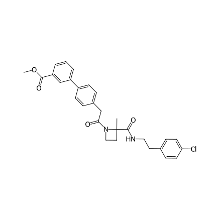 COC(=O)c1cccc(-c2ccc(CC(=O)N3CCC3(C)C(=O)NCCc3ccc(Cl)cc3)cc2)c1